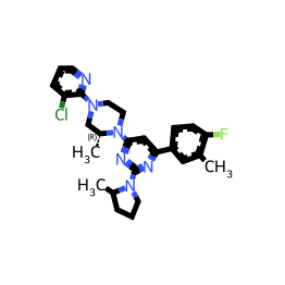 Cc1cc(-c2cc(N3CCN(c4ncccc4Cl)C[C@H]3C)nc(N3CCCC3C)n2)ccc1F